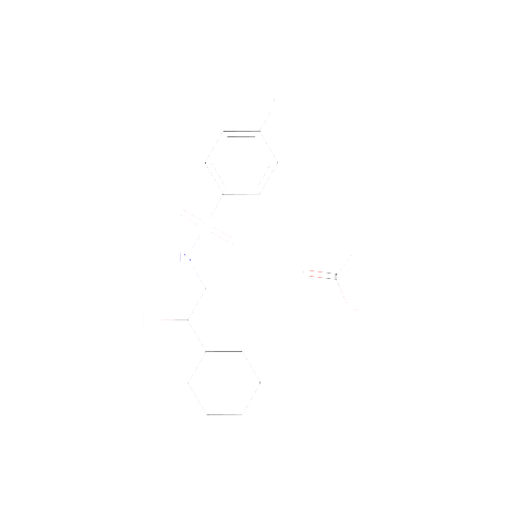 O=C(O)O.O=S(=O)(NCC(O)C1CCCCC1)c1ccc(Cl)cc1